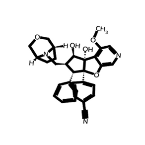 COc1cncc2c1[C@]1(O)[C@H](O)[C@H](CN3[C@@H]4CC[C@H]3COC4)[C@@H](c3ccccc3)[C@]1(c1ccc(C#N)cc1)O2